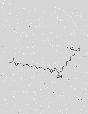 COC(=O)CCCCCCCC(O)OOCCCCCCCCCOC(C)C